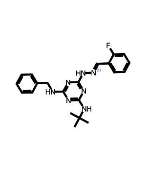 CC(C)(C)Nc1nc(NCc2ccccc2)nc(N/N=C/c2ccccc2F)n1